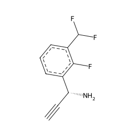 C#C[C@@H](N)c1cccc(C(F)F)c1F